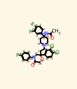 CC(=O)NC1(c2ccc(F)c(F)c2)CCN(CCC2(c3ccc(Cl)c(Cl)c3)CN(c3ccc(F)cc3)C(=O)CO2)CC1